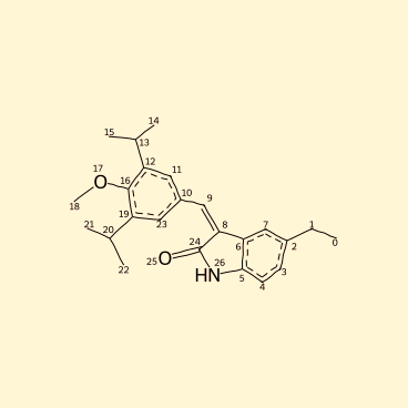 CCc1ccc2c(c1)C(=Cc1cc(C(C)C)c(OC)c(C(C)C)c1)C(=O)N2